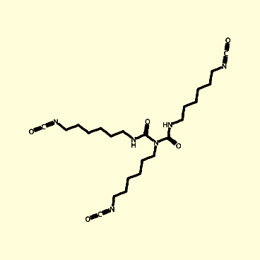 O=C=NCCCCCCNC(=O)N(CCCCCCN=C=O)C(=O)NCCCCCCN=C=O